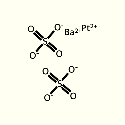 O=S(=O)([O-])[O-].O=S(=O)([O-])[O-].[Ba+2].[Pt+2]